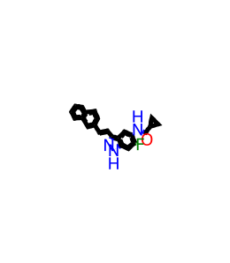 O=C(Nc1cc2c(/C=C/c3ccc4ccccc4c3)n[nH]c2cc1F)C1CC1